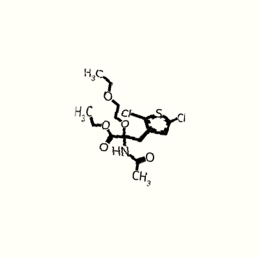 CCOCCOC(Cc1cc(Cl)sc1Cl)(NC(C)=O)C(=O)OCC